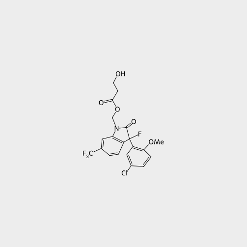 COc1ccc(Cl)cc1C1(F)C(=O)N(COC(=O)CCO)c2cc(C(F)(F)F)ccc21